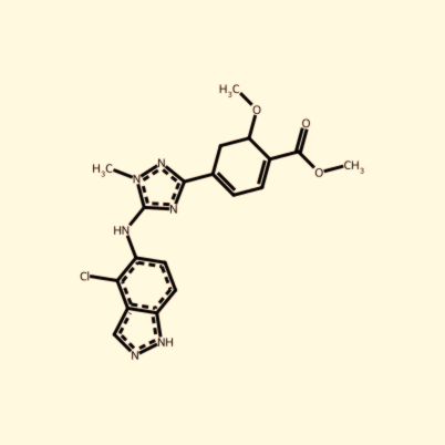 COC(=O)C1=CC=C(c2nc(Nc3ccc4[nH]ncc4c3Cl)n(C)n2)CC1OC